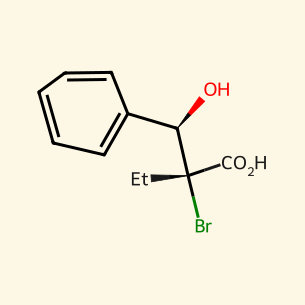 CC[C@](Br)(C(=O)O)[C@H](O)c1ccccc1